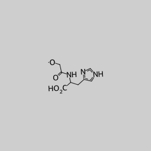 [O]CC(=O)NC(Cc1c[nH]cn1)C(=O)O